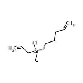 C=CCCCC[Si](Cl)(Cl)CC=C